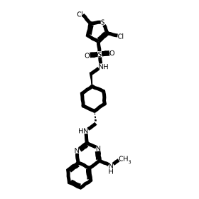 CNc1nc(NC[C@H]2CC[C@H](CNS(=O)(=O)c3cc(Cl)sc3Cl)CC2)nc2ccccc12